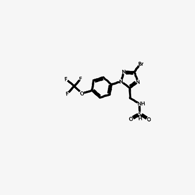 O=[SH](=O)NCc1nc(Br)nn1-c1ccc(OC(F)(F)F)cc1